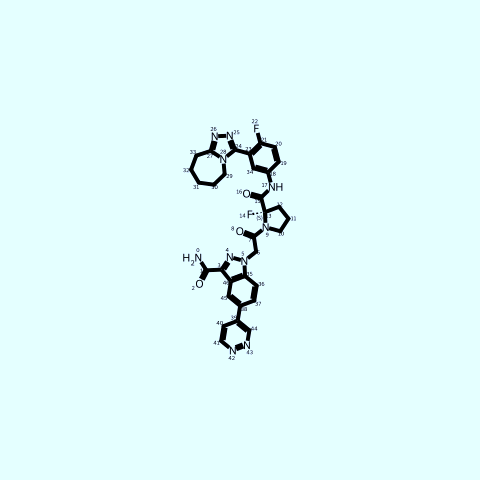 NC(=O)c1nn(CC(=O)N2CCC[C@]2(F)C(=O)Nc2ccc(F)c(-c3nnc4n3CCCCC4)c2)c2ccc(-c3ccnnc3)cc12